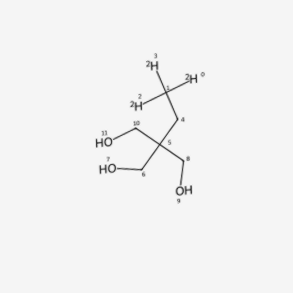 [2H]C([2H])([2H])CC(CO)(CO)CO